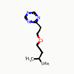 CSC(C)CCOCCc1ncncn1